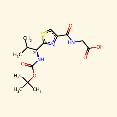 CC(C)[C@H](NC(=O)OC(C)(C)C)c1nc(C(=O)NCC(=O)O)cs1